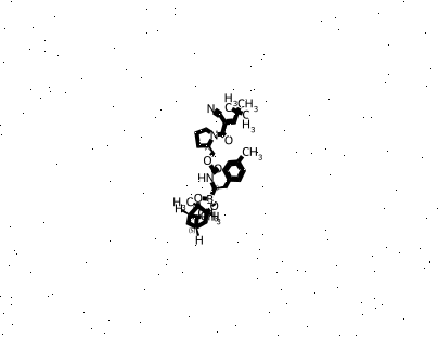 Cc1ccc(C[C@H](NC(=O)OC[C@H]2CCCN2C(=O)C(C#N)=CC(C)(C)C)B2O[C@@H]3C[C@@H]4C[C@@H](C4(C)C)[C@]3(C)O2)cc1